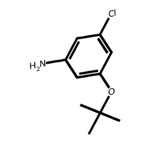 CC(C)(C)Oc1cc(N)cc(Cl)c1